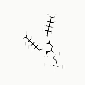 C[N+](C)(I)CCNC(CC(=O)OCC(F)(F)C(F)(F)C(F)(F)C(F)F)C(=O)OCC(F)(F)C(F)(F)C(F)(F)C(F)F